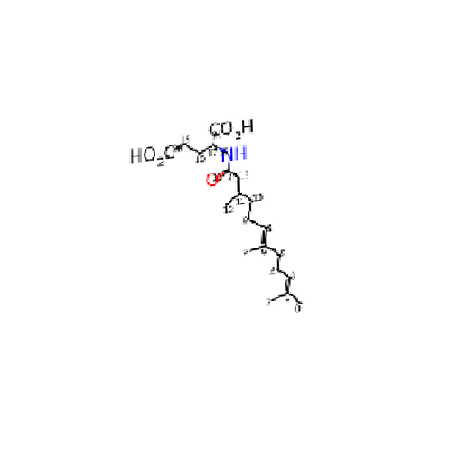 CC(C)=CCC/C(C)=C/CC/C(C)=C/C(=O)N[C@H](CCC(=O)O)C(=O)O